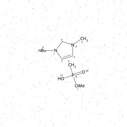 CCCCN1C=CN(C)C1.COP(C)(=O)O